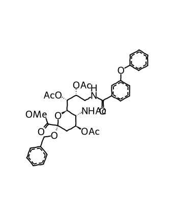 COC(=O)[C@]1(OCc2ccccc2)C[C@H](OC(C)=O)[C@@H](NC(C)=O)[C@H]([C@H](OC(C)=O)[C@@H](CNC(=O)c2cccc(Oc3ccccc3)c2)OC(C)=O)O1